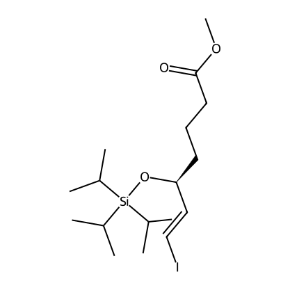 COC(=O)CCC[C@@H](/C=C/I)O[Si](C(C)C)(C(C)C)C(C)C